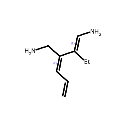 C=C/C=C(CN)\C(=C\N)CC